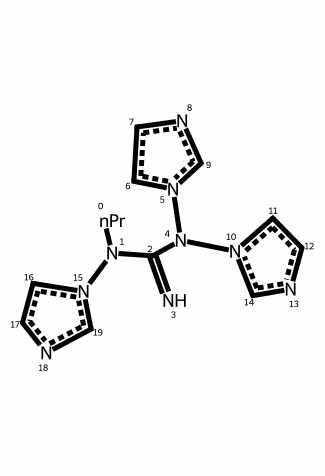 CCCN(C(=N)N(n1ccnc1)n1ccnc1)n1ccnc1